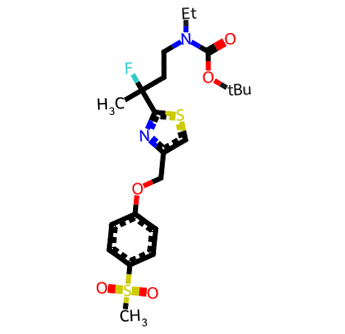 CCN(CCC(C)(F)c1nc(COc2ccc(S(C)(=O)=O)cc2)cs1)C(=O)OC(C)(C)C